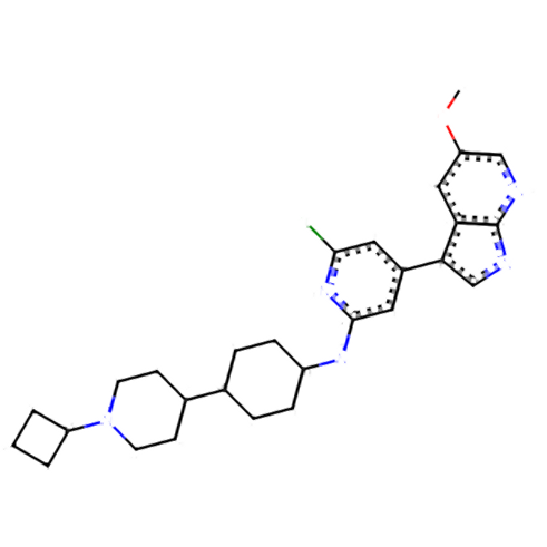 COc1cnc2[nH]cc(-c3cc(Cl)nc(NC4CCC(C5CCN(C6CCC6)CC5)CC4)c3)c2c1